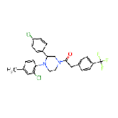 Cc1ccc(N2CCN(C(=O)Cc3ccc(C(F)(F)F)cc3)CC2c2ccc(Cl)cc2)c(Cl)c1